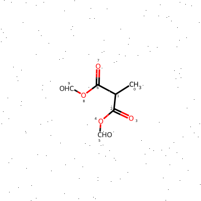 CC(C(=O)OC=O)C(=O)OC=O